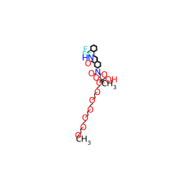 COCCOCCOCCOCCOCCOCCO[C@](C)(C(=O)O)C1CN(c2ccc3cc(-c4ccccc4C(F)(F)F)[nH]c(=O)c3c2)C(=O)O1